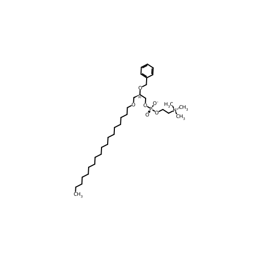 CCCCCCCCCCCCCCCCCCOC[C@H](COP(=O)([O-])OCC[N+](C)(C)C)OCc1ccccc1